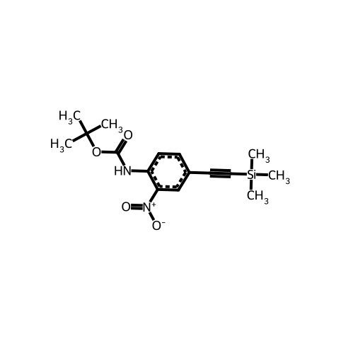 CC(C)(C)OC(=O)Nc1ccc(C#C[Si](C)(C)C)cc1[N+](=O)[O-]